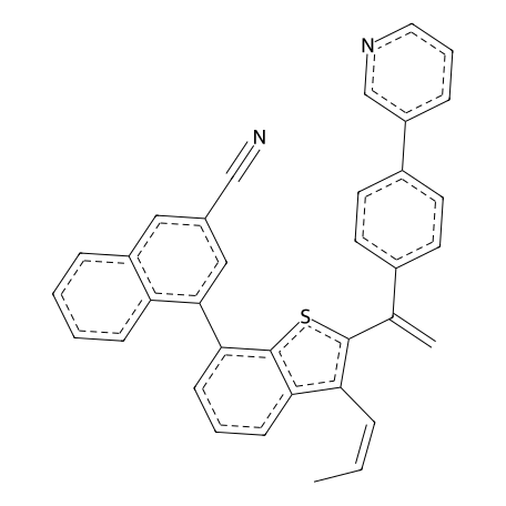 C=C(c1ccc(-c2cccnc2)cc1)c1sc2c(-c3cc(C#N)cc4ccccc34)cccc2c1/C=C\C